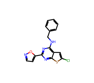 Clc1cc2c(NCc3ccccc3)nc(-c3ccno3)nc2s1